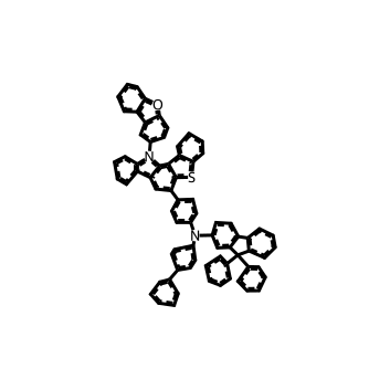 c1ccc(-c2ccc(N(c3ccc(-c4cc5c6ccccc6n(-c6ccc7oc8ccccc8c7c6)c5c5c4sc4ccccc45)cc3)c3ccc4c(c3)C(c3ccccc3)(c3ccccc3)c3ccccc3-4)cc2)cc1